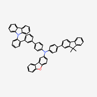 CC1(C)c2ccccc2-c2ccc(-c3ccc(N(c4ccc(-c5cccc(-c6ccccc6-n6c7ccccc7c7ccccc76)c5)cc4)c4ccc5oc6ccccc6c5c4)cc3)cc21